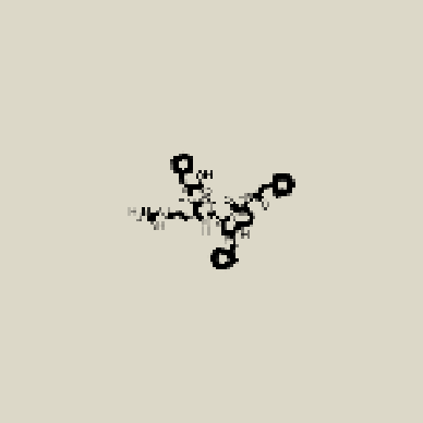 N=C(N)NCCC[C@@H](NC(=O)[C@@H]1C[C@@H](Cc2ccccc2)[C@H]2CC[C@H](NC(=O)Cc3ccccc3)C(=O)N21)C(=O)N[C@@H](Cc1ccccc1)C(=O)O